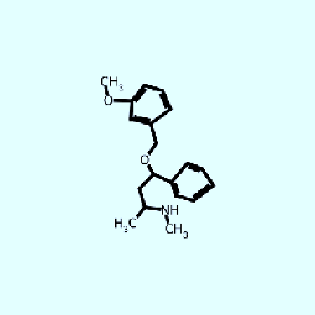 CNC(C)CC(OCc1cccc(OC)c1)c1ccccc1